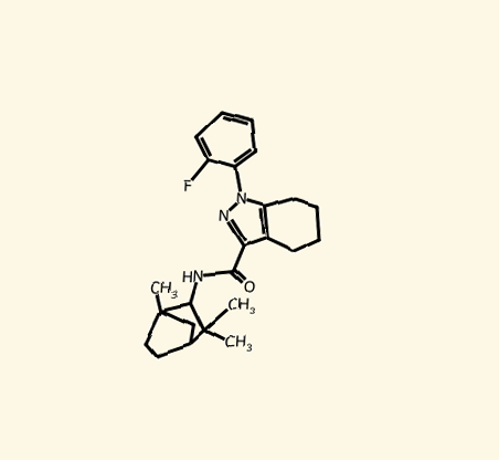 CC12CCC(C1)C(C)(C)C2NC(=O)c1nn(-c2ccccc2F)c2c1CCCC2